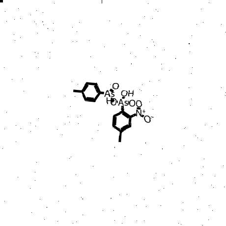 Cc1ccc([AsH](=O)O[As](=O)(O)c2ccc(C)cc2[N+](=O)[O-])cc1